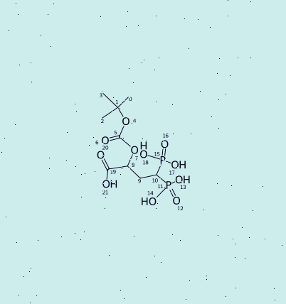 CC(C)(C)OC(=O)OC(CC(P(=O)(O)O)P(=O)(O)O)C(=O)O